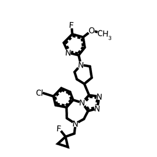 COc1cc(N2CCC(c3nnc4n3-c3ccc(Cl)cc3CN(CC3(F)CC3)C4)CC2)ncc1F